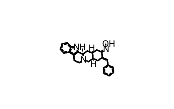 C[C@@]12C[C@@H]3CC(=NO)/C(=C/c4ccccc4)C[C@H]3CN1CCc1c2[nH]c2ccccc12